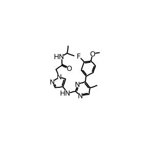 COc1ccc(-c2nc(Nc3cnn(CC(=O)NC(C)C)c3)ncc2C)cc1F